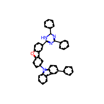 c1ccc(C2=NC(c3ccccc3)NC(c3ccc4oc5ccc(-n6c7ccccc7c7cc(-c8ccccc8)ccc76)cc5c4c3)=N2)cc1